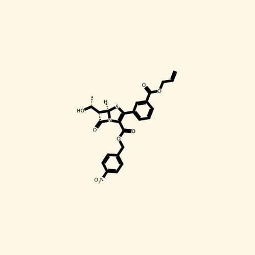 C=CCOC(=O)c1cccc(C2=C(C(=O)OCc3ccc([N+](=O)[O-])cc3)N3C(=O)[C@H]([C@@H](C)O)[C@H]3S2)c1